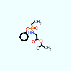 CCP(=O)(NCC(=O)OC(C)C)Oc1ccccc1